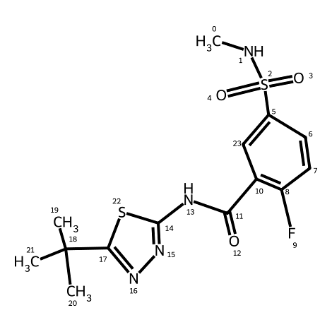 CNS(=O)(=O)c1ccc(F)c(C(=O)Nc2nnc(C(C)(C)C)s2)c1